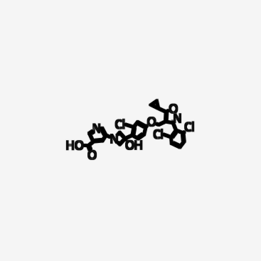 O=C(O)c1cncc(N2CC(O)(c3ccc(OCc4c(-c5c(Cl)cccc5Cl)noc4C4CC4)cc3Cl)C2)c1